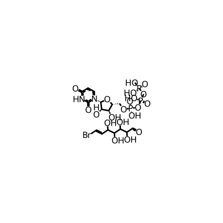 O=CC(O)C(O)C(O)C(O)/C=C/Br.O=c1ccn([C@@H]2O[C@H](COP(=O)(O)OP(=O)(O)OP(=O)(O)O)[C@@H](O)[C@H]2O)c(=O)[nH]1